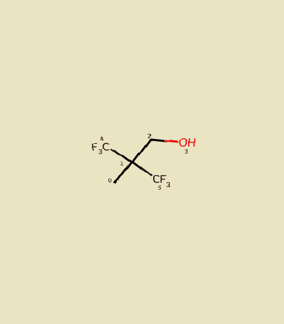 CC(CO)(C(F)(F)F)C(F)(F)F